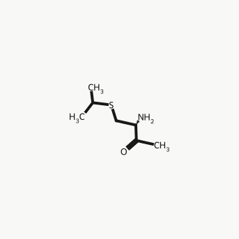 CC(=O)[C@@H](N)CSC(C)C